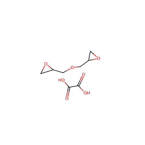 C(OCC1CO1)C1CO1.O=C(O)C(=O)O